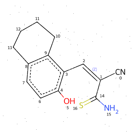 N#C/C(=C/c1c(O)ccc2c1CCCC2)C(N)=S